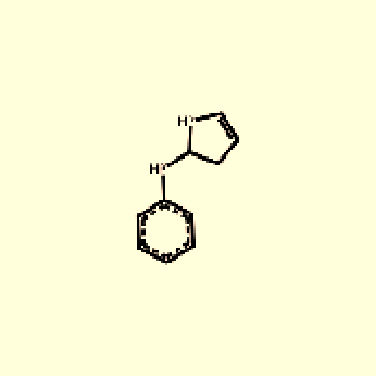 C1=CPC(Pc2ccccc2)C1